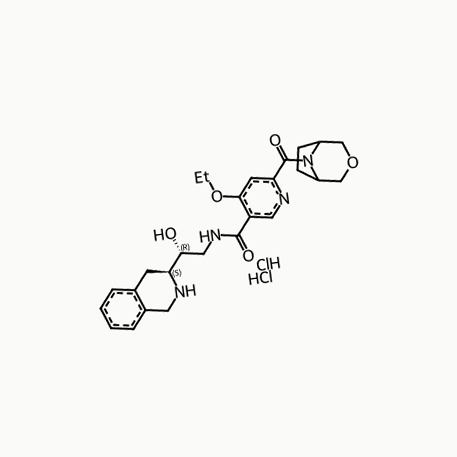 CCOc1cc(C(=O)N2C3CCC2COC3)ncc1C(=O)NC[C@@H](O)[C@@H]1Cc2ccccc2CN1.Cl.Cl